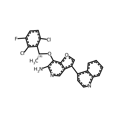 C[C@@H](Oc1c(N)ncc2c(-c3ccnc4ccccc34)coc12)c1c(Cl)ccc(F)c1Cl